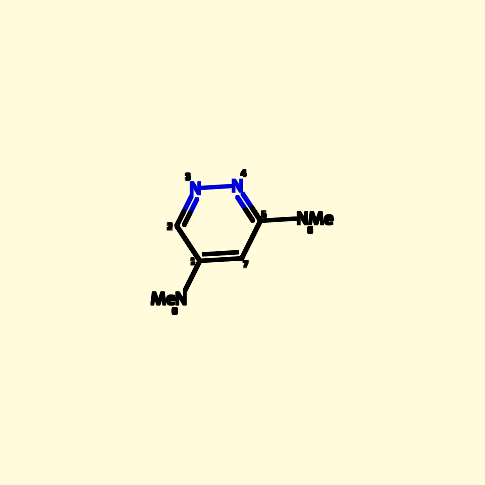 CNc1cnnc(NC)c1